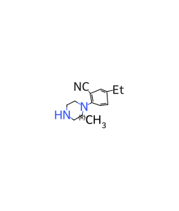 CCc1ccc(N2CCNC[C@H]2C)c(C#N)c1